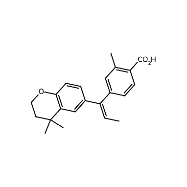 CC=C(c1ccc(C(=O)O)c(C)c1)c1ccc2c(c1)C(C)(C)CCO2